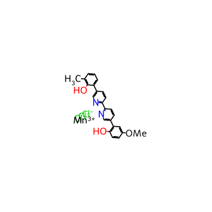 COc1ccc(O)c(-c2ccc(-c3ccc(-c4cccc(C)c4O)cn3)nc2)c1.[Cl-].[Cl-].[Cl-].[Mn+3]